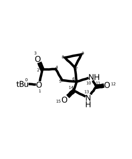 CC(C)(C)OC(=O)CCC1(C2CC2)NC(=O)NC1=O